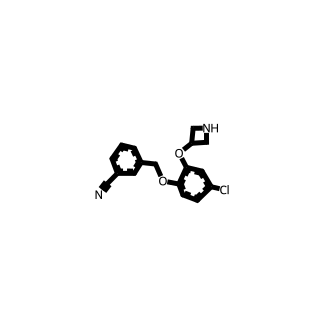 N#Cc1cccc(COc2ccc(Cl)cc2OC2CNC2)c1